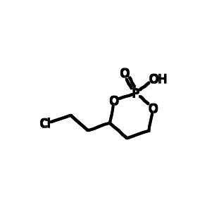 O=P1(O)OCCC(CCCl)O1